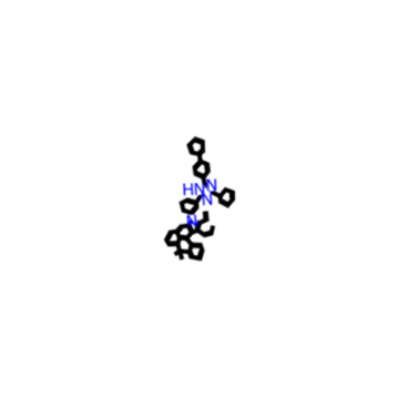 C=Cc1c(/C=C\C)c2c3c4c(cccc4cc2n1C1=CC(C2N=C(C4C=CC=CC4)N=C(c4ccc(-c5ccccc5)cc4)N2)=CCC1)C(C)(C)c1ccccc1-3